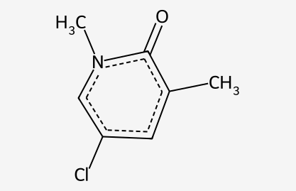 Cc1cc(Cl)cn(C)c1=O